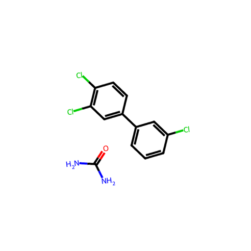 Clc1cccc(-c2ccc(Cl)c(Cl)c2)c1.NC(N)=O